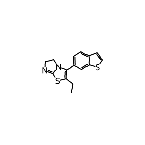 CCC1=C(c2ccc3ccsc3c2)N2CCN=C2S1